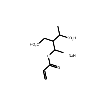 [CH2]C(C(CC(=O)O)C(C)OC(=O)C=C)S(=O)(=O)O.[NaH]